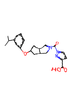 CC(C)c1cccc(OC2CC3CN(C(=O)n4ccc(C(=O)O)n4)CC3C2)c1